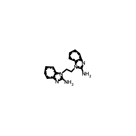 Nc1nc2ccccc2n1CCn1c(N)nc2ccccc21